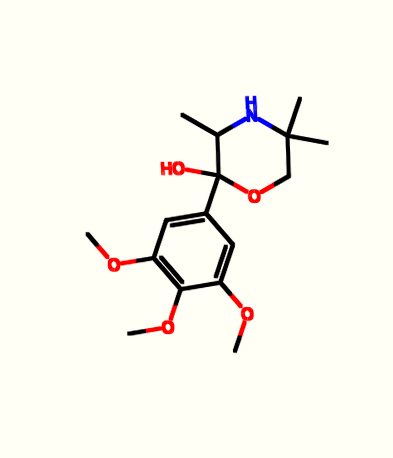 COc1cc(C2(O)OCC(C)(C)NC2C)cc(OC)c1OC